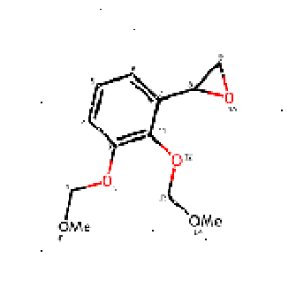 COCOc1cccc(C2CO2)c1OCOC